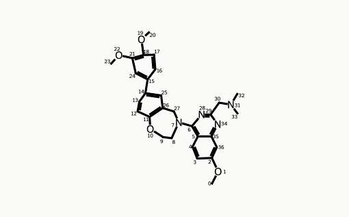 COc1ccc2c(N3CCOc4ccc(-c5ccc(OC)c(OC)c5)cc4C3)nc(CN(C)C)nc2c1